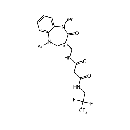 CC(=O)N1C[C@H](CNC(=O)CC(=O)NCC(F)(F)C(F)(F)F)C(=O)N(C(C)C)c2ccccc21